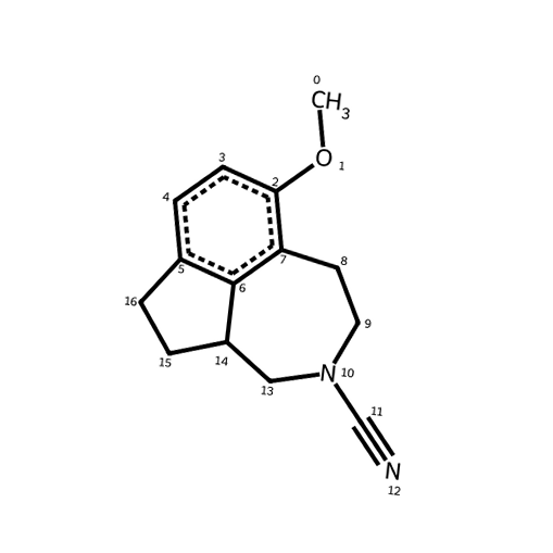 COc1ccc2c3c1CCN(C#N)CC3CC2